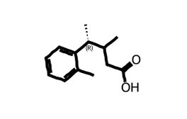 Cc1ccccc1[C@H](C)C(C)CC(=O)O